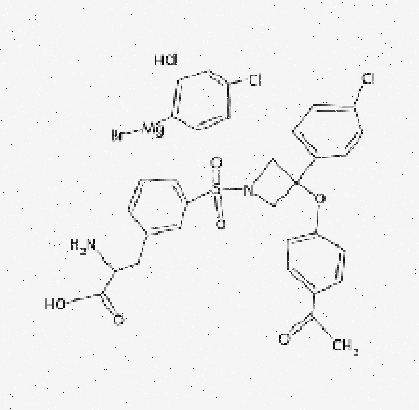 CC(=O)c1ccc(OC2(c3ccc(Cl)cc3)CN(S(=O)(=O)c3cccc(CC(N)C(=O)O)c3)C2)cc1.Cl.Clc1cc[c]([Mg][Br])cc1